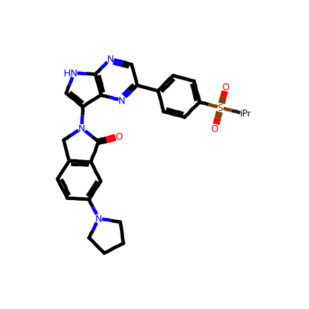 CC(C)S(=O)(=O)c1ccc(-c2cnc3[nH]cc(N4Cc5ccc(N6CCCC6)cc5C4=O)c3n2)cc1